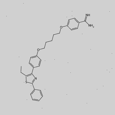 CCc1sc(-c2ccccc2)nc1-c1ccc(OCCCCCOc2ccc(C(=N)N)cc2)cc1